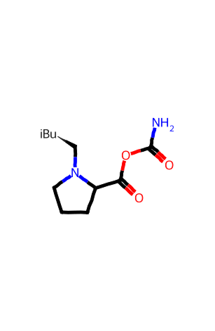 CC[C@H](C)CN1CCCC1C(=O)OC(N)=O